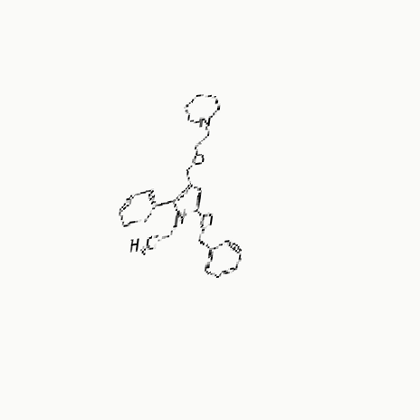 CCn1c(OCc2ccccc2)cc(COCCN2CCCCC2)c1-c1ccccc1